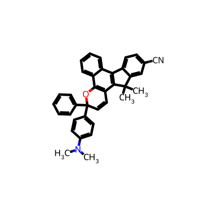 CN(C)c1ccc(C2(c3ccccc3)C=Cc3c4c(c5ccccc5c3O2)-c2ccc(C#N)cc2C4(C)C)cc1